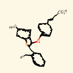 COc1ccc2c(Oc3ccc(C=CC(=O)O)cc3)c(-c3ccccc3C(C)C)sc2c1